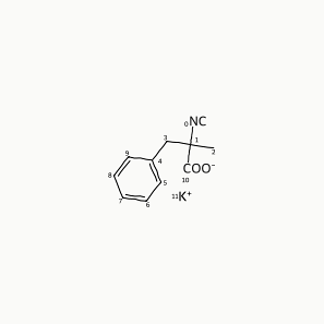 [C-]#[N+]C(C)(Cc1ccccc1)C(=O)[O-].[K+]